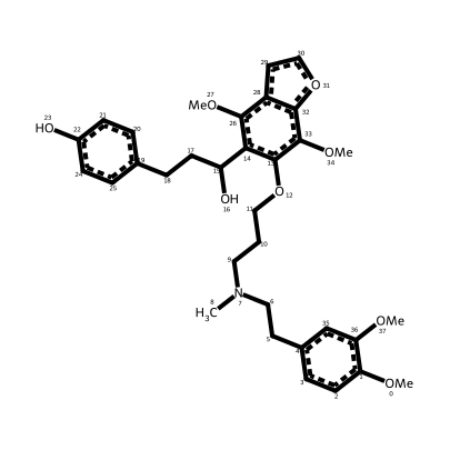 COc1ccc(CCN(C)CCCOc2c(C(O)CCc3ccc(O)cc3)c(OC)c3ccoc3c2OC)cc1OC